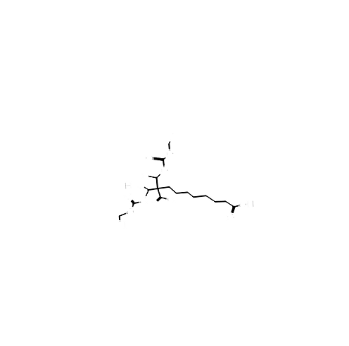 CCOC(=O)OC(C)C(CCCCCCCC(=O)O)(C(=O)O)C(C)OC(=O)OCC